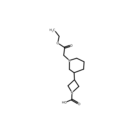 CCOC(=O)CN1CCCC(C2CN(C(=O)O)C2)C1